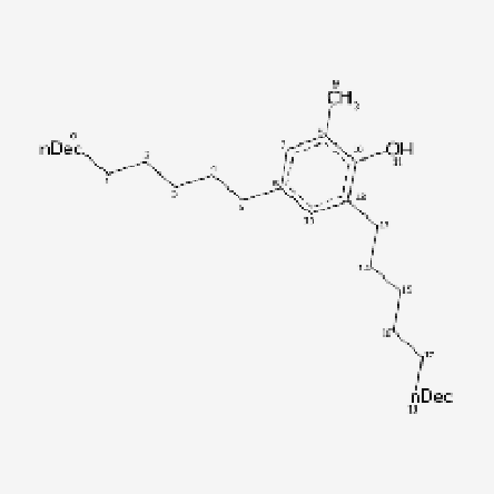 CCCCCCCCCCCCCCCc1cc(C)c(O)c(CCCCCCCCCCCCCCC)c1